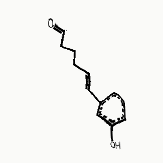 O=[C]CCCC=Cc1cccc(O)c1